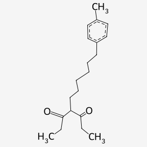 CCC(=O)C(CCCCCCc1ccc(C)cc1)C(=O)CC